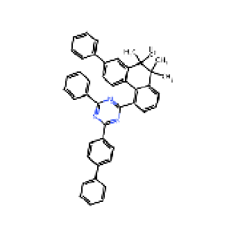 CC1(C)c2cc(-c3ccccc3)ccc2-c2c(-c3nc(-c4ccccc4)nc(-c4ccc(-c5ccccc5)cc4)n3)cccc2C1(C)C